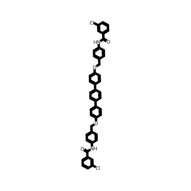 O=C(Nc1ccc(COc2ccc(-c3ccc(-c4ccc(OCc5ccc(NC(=O)c6cccc(Cl)c6)cc5)cc4)cc3)cc2)cc1)c1cccc(Cl)c1